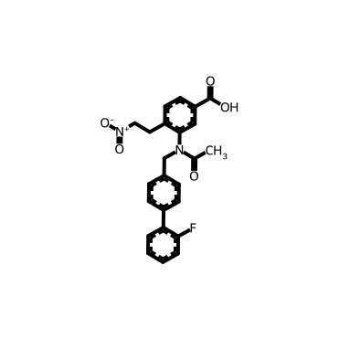 CC(=O)N(Cc1ccc(-c2ccccc2F)cc1)c1cc(C(=O)O)ccc1CC[N+](=O)[O-]